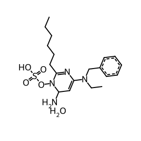 CCCCCCC1=NC(N(CC)Cc2ccccc2)=CC(N)N1OS(=O)(=O)O.O